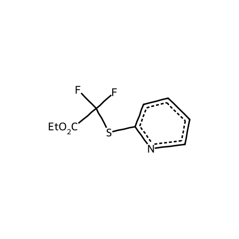 CCOC(=O)C(F)(F)Sc1ccccn1